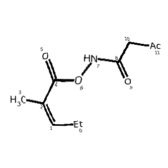 CCC=C(C)C(=O)ONC(=O)CC(C)=O